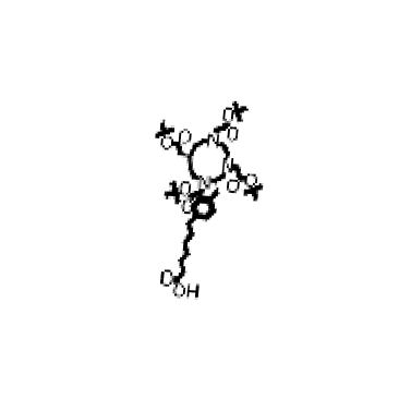 CC(C)(C)OC(=O)C[C@H]1CCN(CC(=O)OC(C)(C)C)CCN(CC(=O)OC(C)(C)C)C[C@H](Cc2ccc(CCCCCCC(=O)O)cc2)N(CC(=O)OC(C)(C)C)CC1